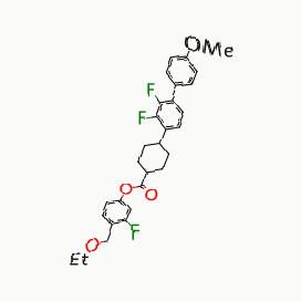 CCOCc1ccc(OC(=O)C2CCC(c3ccc(-c4ccc(OC)cc4)c(F)c3F)CC2)cc1F